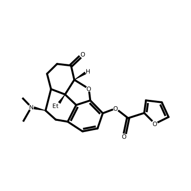 CC[C@]12c3c4ccc(OC(=O)c5ccco5)c3O[C@H]1C(=O)CCC2[C@H](N(C)C)C4